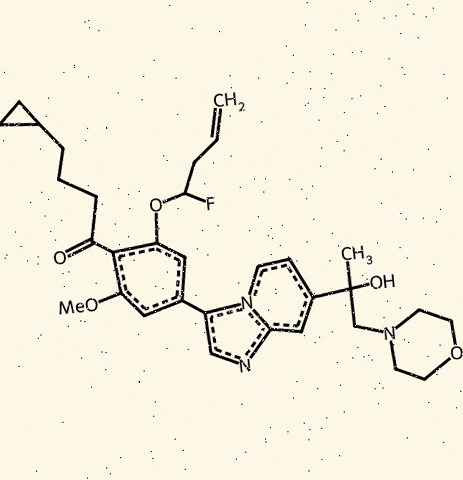 C=CCC(F)Oc1cc(-c2cnc3cc(C(C)(O)CN4CCOCC4)ccn23)cc(OC)c1C(=O)CCCC1CC1